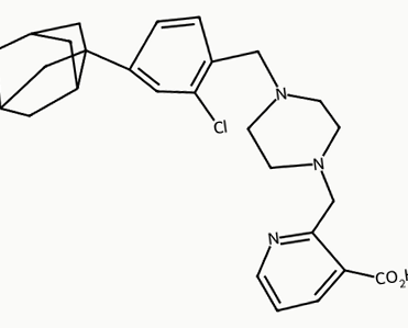 O=C(O)c1cccnc1CN1CCN(Cc2ccc(C34CC5CC(CC3C5)C4)cc2Cl)CC1